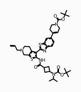 C=CCN1CCc2c(sc(NC(=O)C3CC(N(C(=O)OC(C)(C)C)C(C)C)C3)c2-c2nc3ccc(C4=CCN(C(=O)OC(C)(C)C)CC4)cc3s2)C1